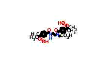 CC1(C)OB(O)c2cc(C(=O)NCCN(CC(=O)O)C(=O)c3ccc4c(c3)B(O)OC4(C)C)ccc21